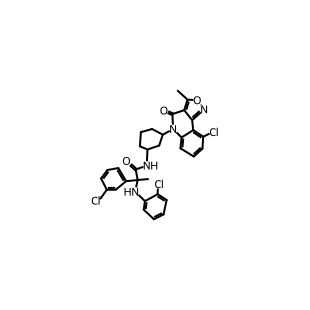 Cc1onc2c1c(=O)n(C1CCCC(NC(=O)C(C)(Nc3ccccc3Cl)c3cccc(Cl)c3)C1)c1cccc(Cl)c21